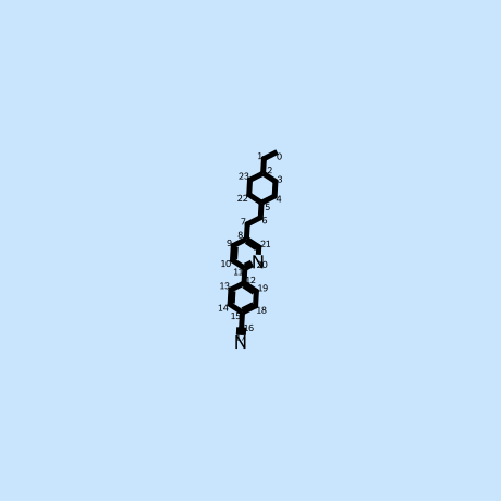 CCC1CCC(CCc2ccc(-c3ccc(C#N)cc3)nc2)CC1